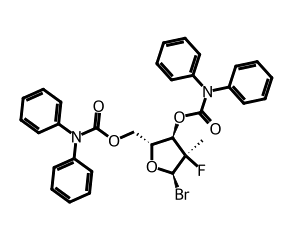 C[C@@]1(F)[C@H](OC(=O)N(c2ccccc2)c2ccccc2)[C@@H](COC(=O)N(c2ccccc2)c2ccccc2)O[C@@H]1Br